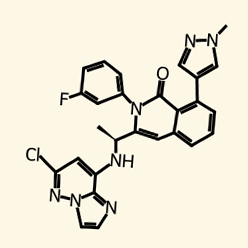 C[C@H](Nc1cc(Cl)nn2ccnc12)c1cc2cccc(-c3cnn(C)c3)c2c(=O)n1-c1cccc(F)c1